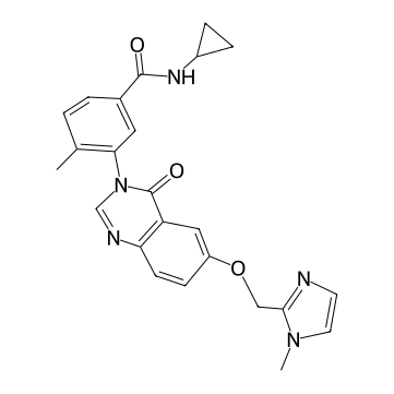 Cc1ccc(C(=O)NC2CC2)cc1-n1cnc2ccc(OCc3nccn3C)cc2c1=O